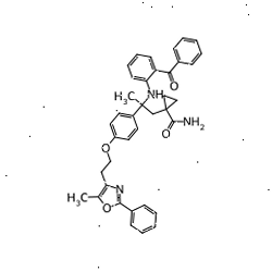 Cc1oc(-c2ccccc2)nc1CCOc1ccc(C(C)(CC2(C(N)=O)CC2)Nc2ccccc2C(=O)c2ccccc2)cc1